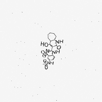 CS(=O)(=O)Nc1ccc2c(c1)S(=O)(=O)N=C(C1=C(O)C3CCCCCC3NC1=O)N2